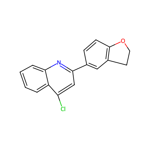 Clc1cc(-c2ccc3c(c2)CCO3)nc2ccccc12